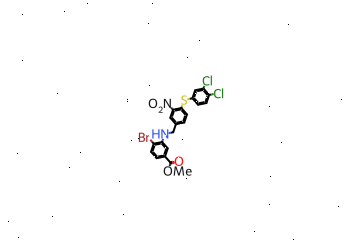 COC(=O)c1ccc(Br)c(NCc2ccc(Sc3ccc(Cl)c(Cl)c3)c([N+](=O)[O-])c2)c1